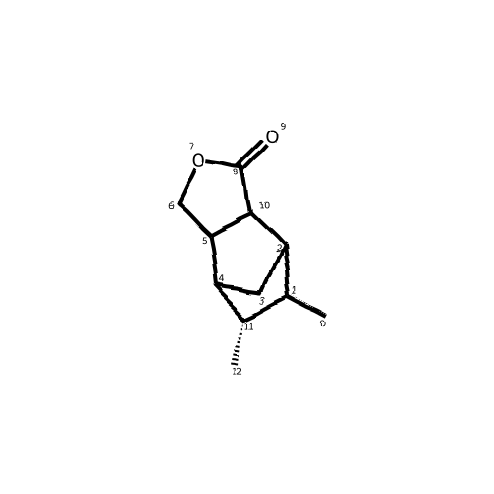 CC1C2CC(C3COC(=O)C23)[C@H]1C